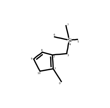 CC1=C(C[Si](C)(C)C)C=CC1